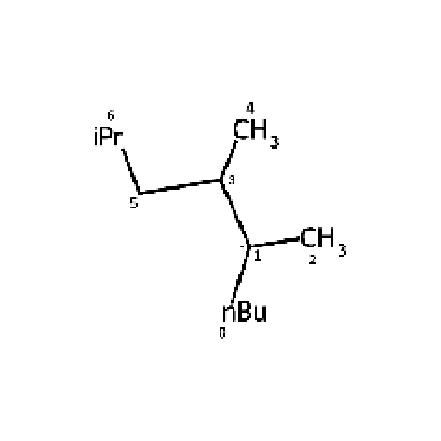 CCCC[C](C)C(C)CC(C)C